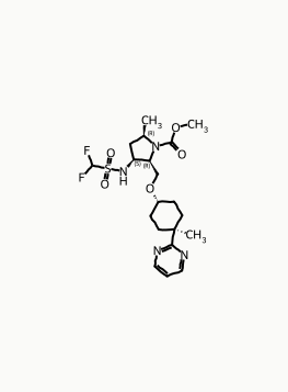 COC(=O)N1[C@H](C)C[C@H](NS(=O)(=O)C(F)F)[C@@H]1CO[C@H]1CC[C@](C)(c2ncccn2)CC1